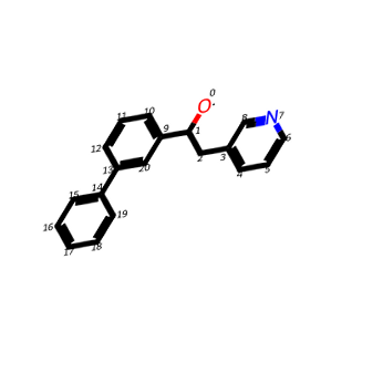 [O]C(Cc1cccnc1)c1cccc(-c2ccccc2)c1